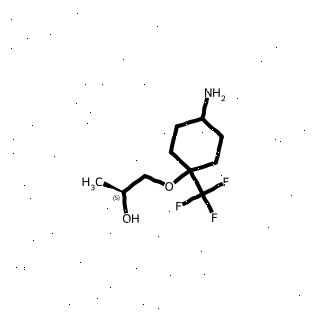 C[C@H](O)COC1(C(F)(F)F)CCC(N)CC1